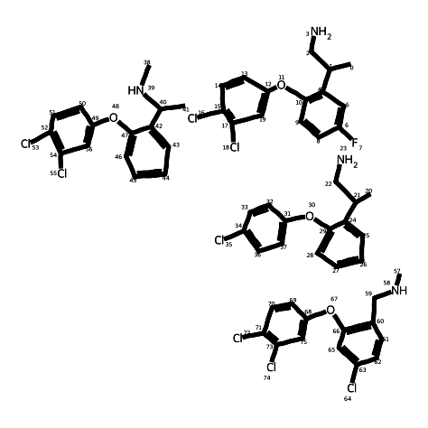 CC(CN)c1cc(F)ccc1Oc1ccc(Cl)c(Cl)c1.CC(CN)c1ccccc1Oc1ccc(Cl)cc1.CNC(C)c1ccccc1Oc1ccc(Cl)c(Cl)c1.CNCc1ccc(Cl)cc1Oc1ccc(Cl)c(Cl)c1